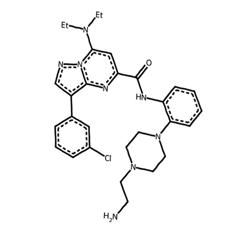 CCN(CC)c1cc(C(=O)Nc2ccccc2N2CCN(CCN)CC2)nc2c(-c3cccc(Cl)c3)cnn12